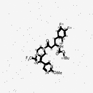 COc1ncc(-c2nc(C(F)(F)F)n3c2CN(C(=O)CC(Cc2cc(F)c(F)cc2F)NC(=O)OC(C)(C)C)CC3)cn1